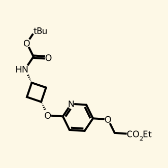 CCOC(=O)COc1ccc(O[C@H]2C[C@@H](NC(=O)OC(C)(C)C)C2)nc1